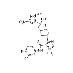 CCn1nc([N+](=O)[O-])cc1C1(O)CC2CC(c3ncn(C)c3C(=O)Nc3ccc(F)c(Cl)c3)CC2C1